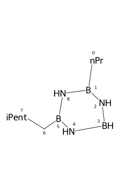 CCCB1NBNB(CC(C)CCC)N1